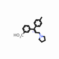 Cc1ccc(/C(=C\CN2CCCC2)c2cccc(C(=O)O)c2)cc1